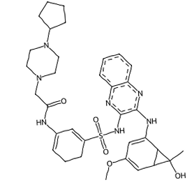 COC1=CC2C(C(Nc3nc4ccccc4nc3NS(=O)(=O)C3=CC(NC(=O)CN4CCN(C5CCCC5)CC4)=CCC3)=C1)C2(C)O